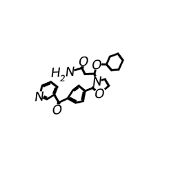 NC(=O)CC(OC1CCCCC1)N1CCOC1c1ccc(C(=O)c2cccnc2)cc1